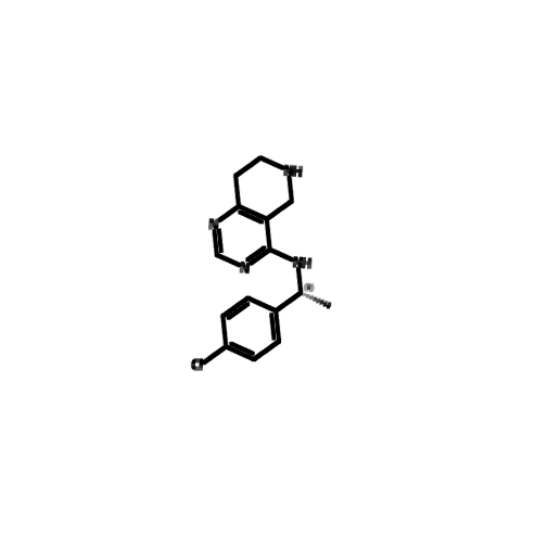 C[C@@H](Nc1ncnc2c1CNCC2)c1ccc(Cl)cc1